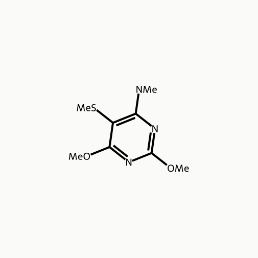 CNc1nc(OC)nc(OC)c1SC